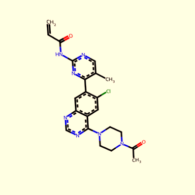 C=CC(=O)Nc1ncc(C)c(-c2cc3ncnc(N4CCN(C(C)=O)CC4)c3cc2Cl)n1